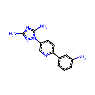 Nc1cccc(-c2ccc(-n3nc(N)nc3N)cn2)c1